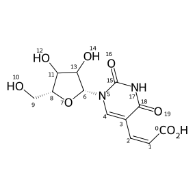 O=C(O)/C=C\c1cn([C@@H]2O[C@H](CO)C(O)C2O)c(=O)[nH]c1=O